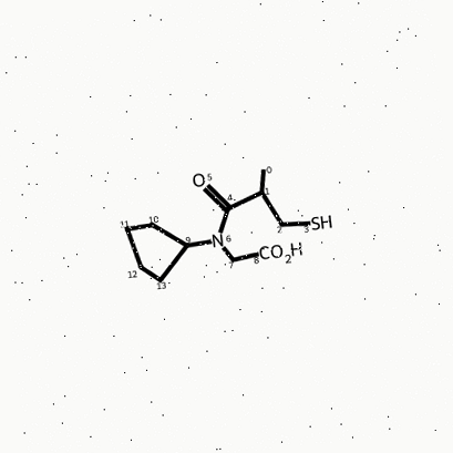 CC(CS)C(=O)N(CC(=O)O)C1CCCC1